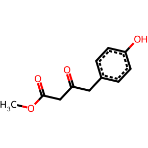 COC(=O)CC(=O)Cc1ccc(O)cc1